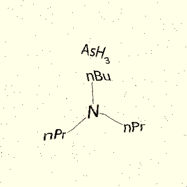 CCCCN(CCC)CCC.[AsH3]